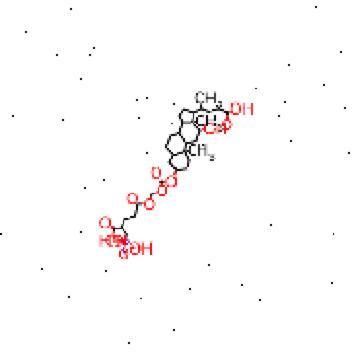 CC(CCC(=O)O)C1CCC2C3CCC4C[C@H](OC(=O)OCOC(=O)CCC(CP(=O)(O)O)C(=O)O)CC[C@]4(C)C3C[C@H](O)[C@]12C